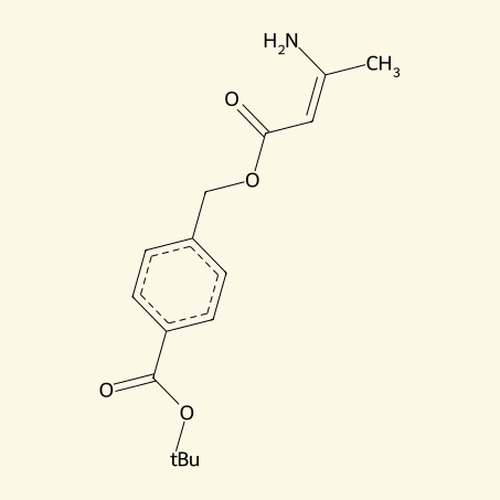 CC(N)=CC(=O)OCc1ccc(C(=O)OC(C)(C)C)cc1